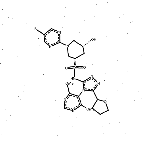 COc1ncnc(OC)c1-n1c(NS(=O)(=O)[C@@H]2C[C@@H](O)CN(c3ncc(F)cn3)C2)nnc1C1CCCO1